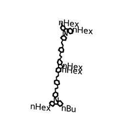 CCCCCCc1ccc2c(c1)c1cc(CCCC)ccc1n2-c1ccc(/C=C/c2ccc(/C=C/c3ccc4c(c3)C(CCCCCC)(CCCCCC)c3cc(/C=C/c5ccc(/C=C/c6ccc(-n7c8ccc(CCCCCC)cc8c8cc(CCCCCC)ccc87)cc6)cc5)ccc3-4)cc2)cc1